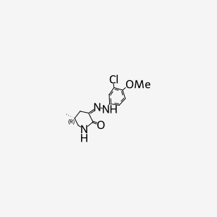 COc1ccc(NN=C2C[C@@H](C)CNC2=O)cc1Cl